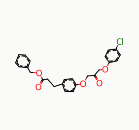 O=C(COc1ccc(Cl)cc1)COc1ccc(CCC(=O)OCc2ccccc2)cc1